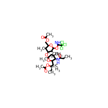 CCC(=O)N[C@H]1C([C@H](C)[C@@H](CC)OC(C)=O)O[C@](C)(O[C@@H]2C(C)C(OC(=N)C(Cl)(Cl)Cl)OC(COC(C)=O)[C@@H]2C)C[C@H]1C